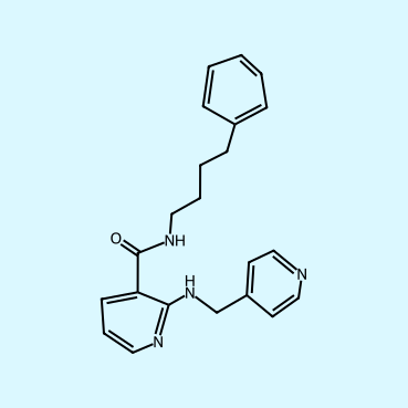 O=C(NCCCCc1ccccc1)c1cccnc1NCc1ccncc1